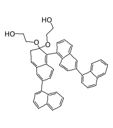 OCCOC1(OCCO)CC=c2cc(-c3cccc4ccccc34)ccc2=C1c1cccc2cc(-c3cccc4ccccc34)ccc12